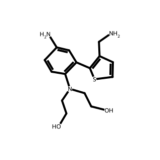 NCc1ccsc1-c1cc(N)ccc1N(CCO)CCO